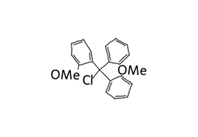 COc1ccccc1C(Cl)(c1ccccc1)c1ccccc1OC